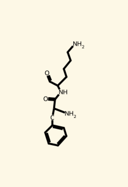 NCCCCC(C=O)NC(=O)C(N)Cc1ccccc1